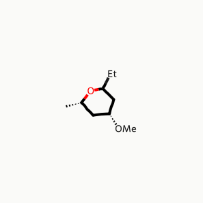 CCC1C[C@H](OC)C[C@H](C)O1